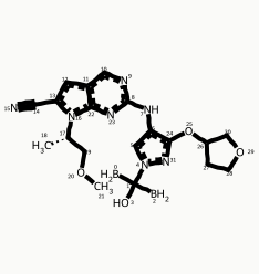 BC(B)(O)n1cc(Nc2ncc3cc(C#N)n([C@@H](C)COC)c3n2)c(OC2CCOC2)n1